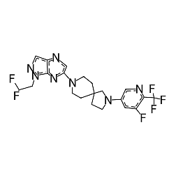 Fc1cc(N2CCC3(CCN(c4cnc5cnn(CC(F)F)c5n4)CC3)C2)cnc1C(F)(F)F